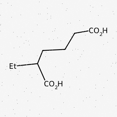 CCC(CCCC(=O)O)C(=O)O